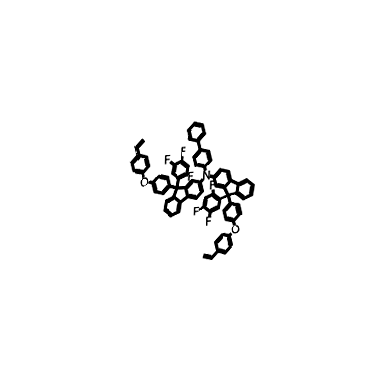 C=Cc1ccc(Oc2ccc(C3(c4cc(F)c(F)cc4F)c4ccccc4-c4ccc(N(c5ccc(-c6ccccc6)cc5)c5ccc6c(c5)C(c5ccc(Oc7ccc(C=C)cc7)cc5)(c5cc(F)c(F)cc5F)c5ccccc5-6)cc43)cc2)cc1